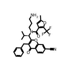 Cc1cc(C(=O)N(CCCN)[C@@H](c2oc3cc(C#N)ccc3c(=O)c2Cc2ccccc2)C(C)C)c(C(F)(F)F)o1